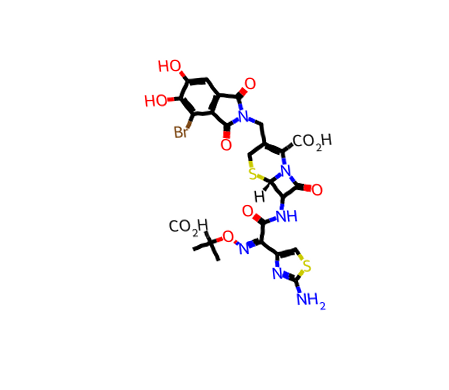 CC(C)(O/N=C(\C(=O)NC1C(=O)N2C(C(=O)O)=C(CN3C(=O)c4cc(O)c(O)c(Br)c4C3=O)CS[C@@H]12)c1csc(N)n1)C(=O)O